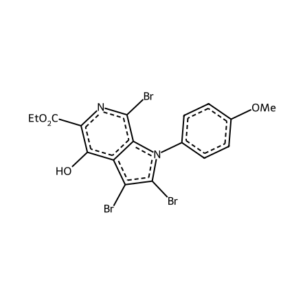 CCOC(=O)c1nc(Br)c2c(c1O)c(Br)c(Br)n2-c1ccc(OC)cc1